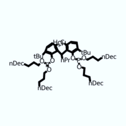 CCCCCCCCCCCCCOP(OCCCCCCCCCCCCC)Oc1c(C(C)(C)C)ccc(C)c1C(CCC)c1c(C)ccc(C(C)(C)C)c1OP(OCCCCCCCCCCCCC)OCCCCCCCCCCCCC